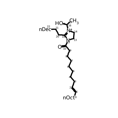 CCCCCCCCC=CCCCCCCCC(=O)N1CC[N+](C(C)O)=C1CCCCCCCCCCCC